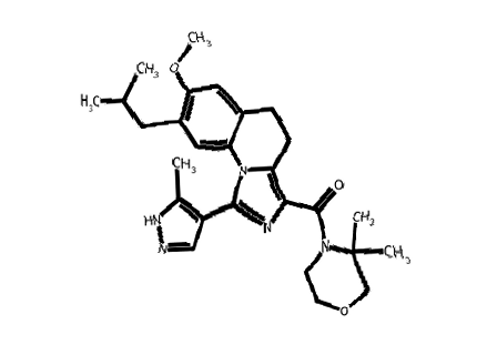 COc1cc2c(cc1CC(C)C)-n1c(-c3cn[nH]c3C)nc(C(=O)N3CCOCC3(C)C)c1CC2